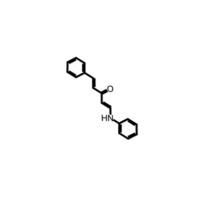 O=C(C=CNc1ccccc1)C=Cc1ccccc1